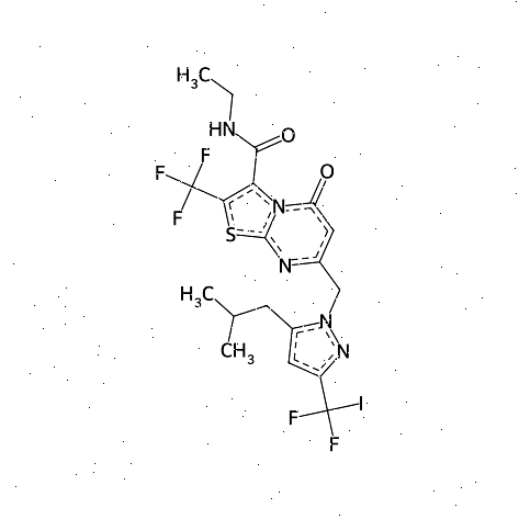 CCNC(=O)c1c(C(F)(F)F)sc2nc(Cn3nc(C(F)(F)I)cc3CC(C)C)cc(=O)n12